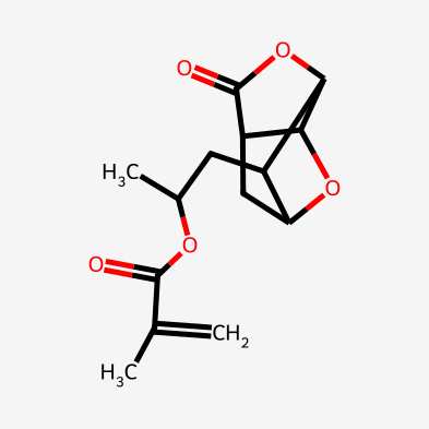 C=C(C)C(=O)OC(C)CC1C2CC3C(=O)OC1C3O2